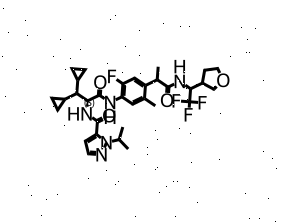 Cc1cc(NC(=O)[C@@H](NC(=O)c2ccnn2C(C)C)C(C2CC2)C2CC2)c(F)cc1C(C)C(=O)NC(C1CCOC1)C(F)(F)F